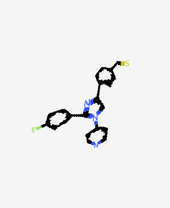 Fc1ccc(-c2nc(-c3ccc(C=S)cc3)cn2-c2ccncc2)cc1